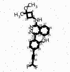 COC1(C)CC(Nc2nnc(-c3ccc(C#CC(F)F)cc3O)c3ccccc23)C1